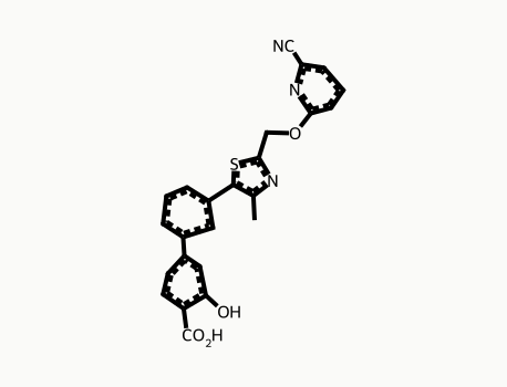 Cc1nc(COc2cccc(C#N)n2)sc1-c1cccc(-c2ccc(C(=O)O)c(O)c2)c1